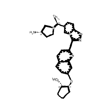 C[C@@H](c1ccc2nnc(-c3ccc4ccc(O[C@H]5CCC[C@@H]5O)cc4n3)n2c1)N1CC[C@H](N)C1